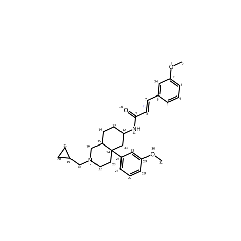 COc1cccc(/C=C/C(=O)NC2CCC3CN(CC4CC4)CCC3(c3cccc(OC)c3)C2)c1